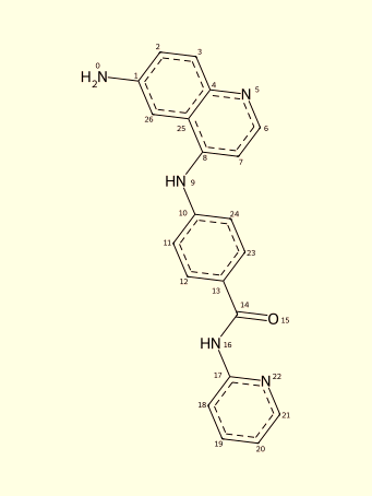 Nc1ccc2nccc(Nc3ccc(C(=O)Nc4ccccn4)cc3)c2c1